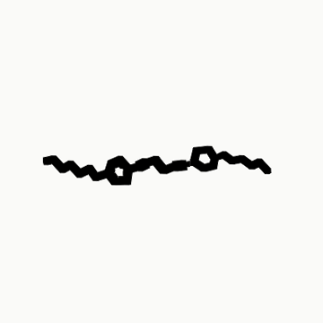 CCCCCCCc1ccc(C#C/C=C/C#C[C@H]2CC[C@H](CCCCCC)CC2)cc1